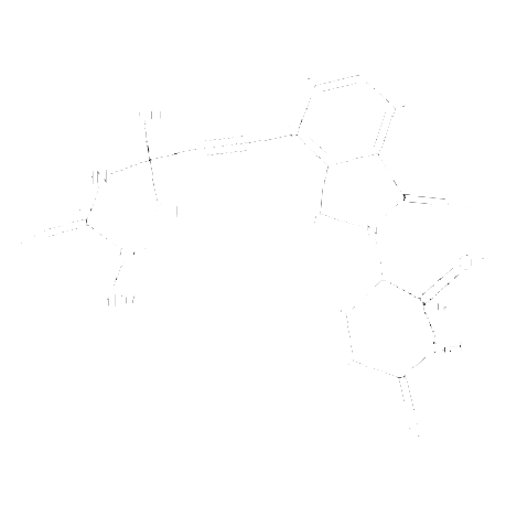 CC(C)(C#Cc1cccc2c1CN(C1CCC(=O)NC1=O)C2=O)NC(=O)OC(C)(C)C